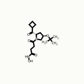 CC(C)(C)O[C@@H]1C[C@@H](C(=O)C2CCC2)N(C(=O)CCC(=O)NO)C1